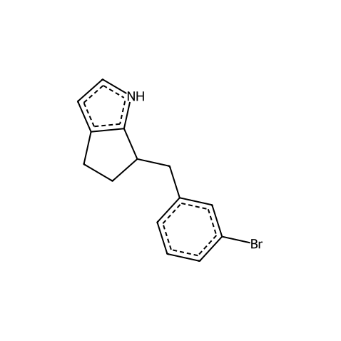 Brc1cccc(CC2CCc3cc[nH]c32)c1